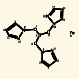 [Fe].c1cnn(OB(On2cccn2)On2cccn2)c1